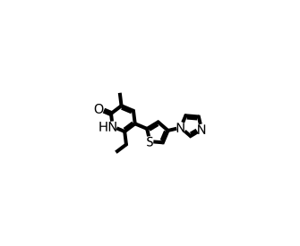 CCc1[nH]c(=O)c(C)cc1-c1cc(-n2ccnc2)cs1